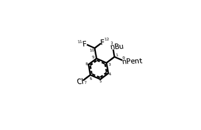 CCCCCC(CCCC)c1ccc(Cl)cc1C(F)F